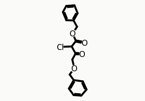 O=C(COCc1ccccc1)C(Cl)C(=O)OCc1ccccc1